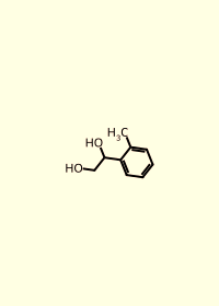 Cc1ccccc1C(O)CO